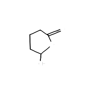 CC1CCCC(=O)O1